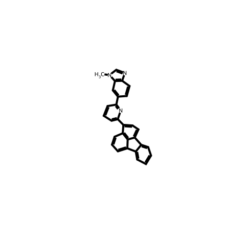 Cn1cnc2ccc(-c3cccc(-c4ccc5c6c(cccc46)-c4ccccc4-5)n3)cc21